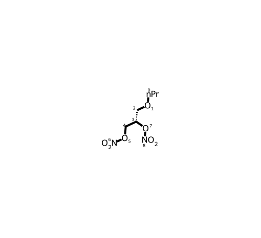 [CH2]CCOC[C@@H](CO[N+](=O)[O-])O[N+](=O)[O-]